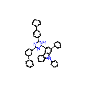 c1ccc(-c2ccc(C3=NC(c4cccc(-c5ccccc5)c4)=NC(c4cc(-c5ccccc5)cc5c4c4ccccc4n5-c4ccccc4)N3)cc2)cc1